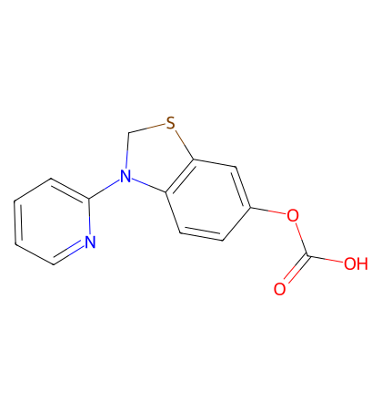 O=C(O)Oc1ccc2c(c1)SCN2c1ccccn1